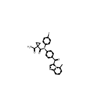 Cc1cccc2ncc(C(=O)c3ccc(N(C(=O)C4(C(N)=O)CC4)c4ccc(F)cc4)cc3)n12